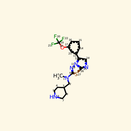 CN(CC1CCNCC1)c1nn2c(-c3cccc(OC(F)(F)F)c3)cnc2s1